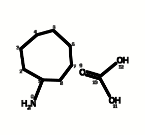 NC1CCCCCCC1.O=C(O)O